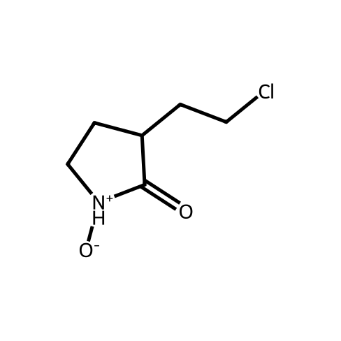 O=C1C(CCCl)CC[NH+]1[O-]